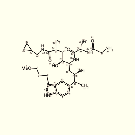 COCCCc1c[nH]c2ccc(C(C)[C@@H](C[C@H](NC(=O)[C@@H](NC(=O)CN)C(C)C)[C@@H](O)C[C@H](C(=O)NCC3CC3)C(C)C)C(C)C)cc12